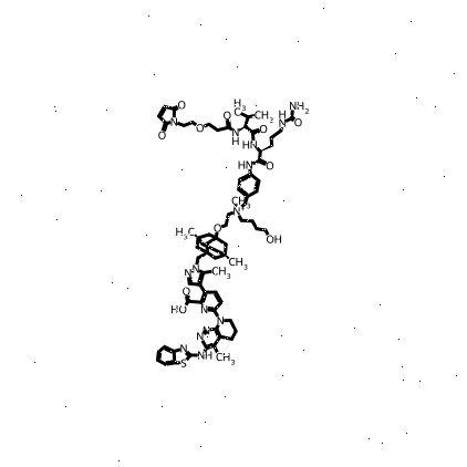 Cc1c(Nc2nc3ccccc3s2)nnc2c1CCCN2c1ccc(-c2cnn(CC34CC5(OCC[N+](C)(CCCCO)Cc6ccc(NC(=O)[C@H](CCCNC(N)=O)NC(=O)[C@@H](NC(=O)CCOCCN7C(=O)C=CC7=O)C(C)C)cc6)C[C@](C)(C3)C[C@](C)(C4)C5)c2C)c(C(=O)O)n1